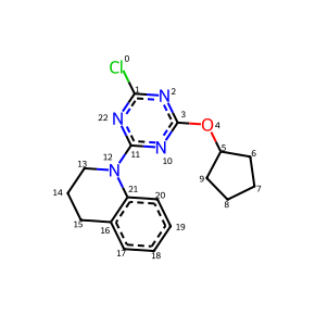 Clc1nc(OC2CCCC2)nc(N2CCCc3ccccc32)n1